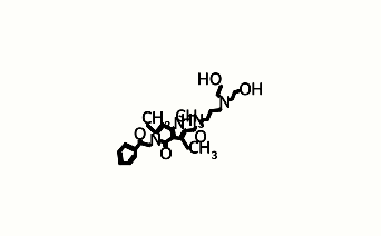 CCc1c(C(=O)NCCCN(CCO)CCO)n(C)c2cc(CC)n(CC(=O)c3ccccc3)c(=O)c12